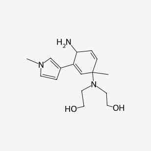 Cn1ccc(C2=CC(C)(N(CCO)CCO)C=CC2N)c1